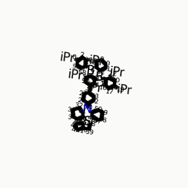 CC(C)c1cc(C(C)C)c(B2c3ccccc3B(c3c(C(C)C)cc(C(C)C)cc3C(C)C)c3cc(-c4ccc(N5c6ccccc6[Si]6(C=Cc7ccccc76)c6ccccc65)cc4)ccc32)c(C(C)C)c1